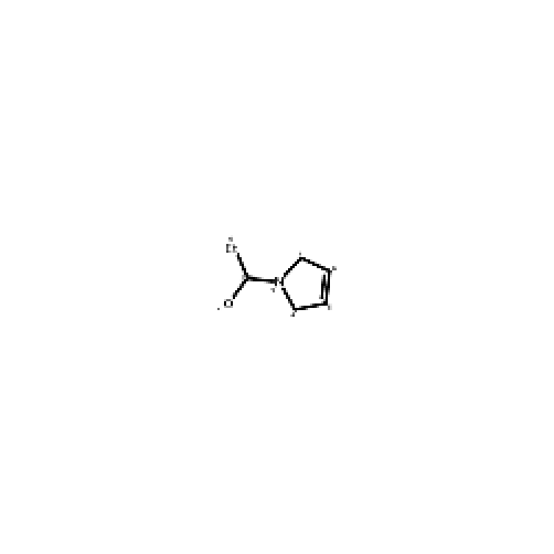 CCC([O])N1CC=CC1